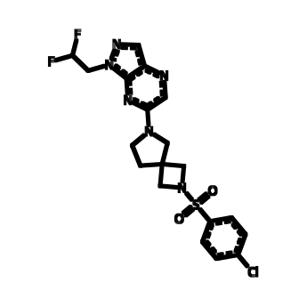 O=S(=O)(c1ccc(Cl)cc1)N1CC2(CCN(c3cnc4cnn(CC(F)F)c4n3)C2)C1